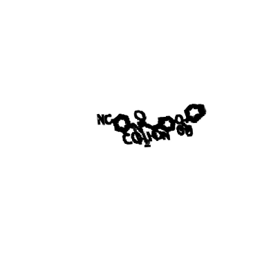 N#Cc1ccc(NC(=O)c2onc3cc(OS(=O)(=O)c4ccccc4)ccc23)c(C(=O)O)c1